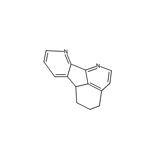 c1cnc2c(c1)C1CCCc3ccnc-2c31